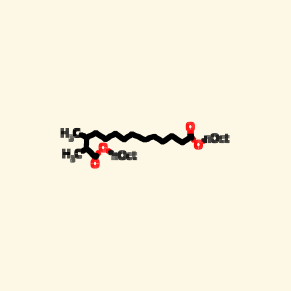 CCCCCCCCOC(=O)CCCCCCCCCCC(C)C(C)C(=O)OCCCCCCCC